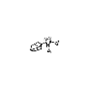 C1C2CC3CC1CC(c1nnc(C4CC4)n1C1CC1)(C2)C3